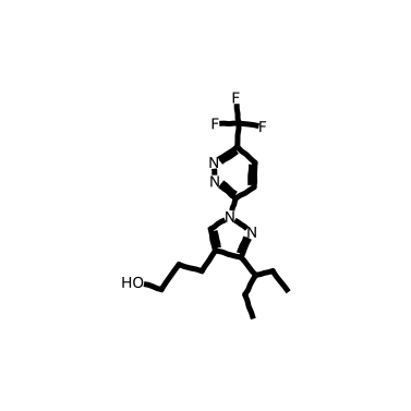 CCC(CC)c1nn(-c2ccc(C(F)(F)F)nn2)cc1CCCO